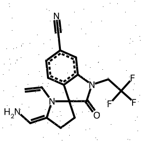 C=CN1/C(=C\N)CCC12C(=O)N(CC(F)(F)F)c1cc(C#N)ccc12